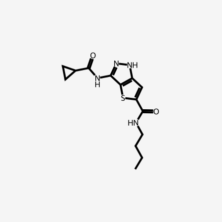 CCCCNC(=O)c1cc2[nH]nc(NC(=O)C3CC3)c2s1